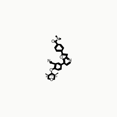 C[C@@H]1COC[C@H](C)[C@@H]1Oc1ccc(-c2ccnc3cc(-c4ccc(C(=O)N(C)C)cc4)oc23)cc1C#N